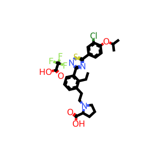 CCc1c(CCN2CCCC2C(=O)O)cccc1-c1nsc(-c2ccc(OC(C)C)c(Cl)c2)n1.O=C(O)C(F)(F)F